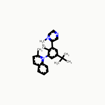 Cc1c(-c2cncc[n+]2C)cc(C(C)(C)C)cc1-[n+]1c(C)ccc2ccccc21